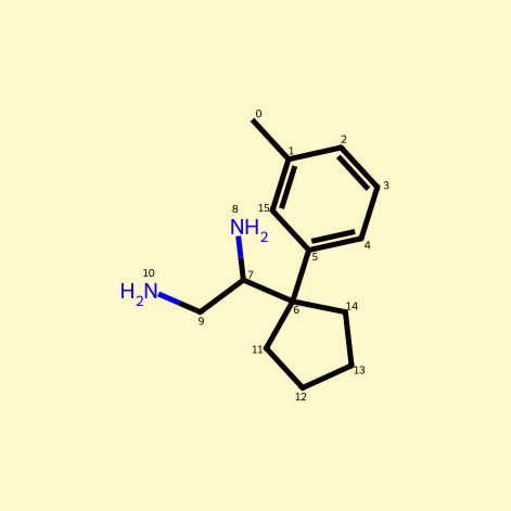 Cc1cccc(C2(C(N)CN)CCCC2)c1